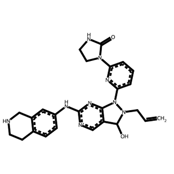 C=CCN1C(O)c2cnc(Nc3ccc4c(c3)CNCC4)nc2N1c1cccc(N2CCNC2=O)n1